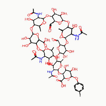 CC(=O)NC1C(OC2C(C(=O)O)OC(OC3C(C)OC(OC4C(C=O)OC(OC5C(C)OC(OC6C(C=O)OC(OC7C(C)OC(OC8C(C(=O)O)OC(Oc9ccc(C)cc9)C(O)C8O)C(NC(C)=O)C7O)C(O)C6O)C(NC(C)=O)C5O)C(O)C4O)C(NC(C)=O)C3O)C(O)C2O)OC(C)C(O)C1O